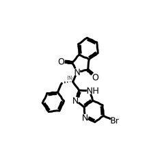 O=C1c2ccccc2C(=O)N1[C@@H](Cc1ccccc1)c1nc2ncc(Br)cc2[nH]1